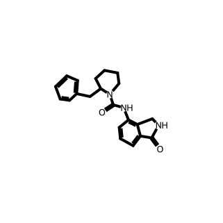 O=C1NCc2c(NC(=O)N3CCCCC3Cc3ccccc3)cccc21